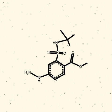 COC(=O)c1ccc(NN)cc1S(=O)(=O)NC(C)(C)C